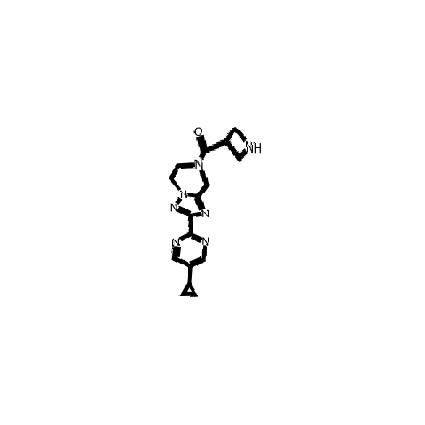 O=C(C1CNC1)N1CCn2nc(-c3ncc(C4CC4)cn3)nc2C1